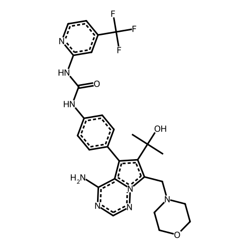 CC(C)(O)c1c(-c2ccc(NC(=O)Nc3cc(C(F)(F)F)ccn3)cc2)c2c(N)ncnn2c1CN1CCOCC1